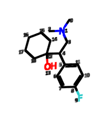 CN(C)CC(c1ccc(F)cc1)C1(O)CCCCC1